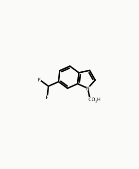 O=C(O)n1ccc2ccc(C(F)F)cc21